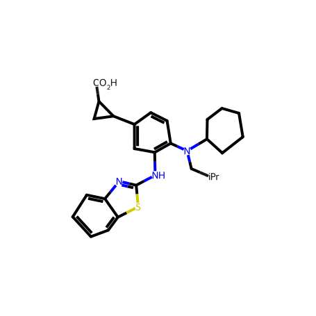 CC(C)CN(c1ccc(C2CC2C(=O)O)cc1Nc1nc2ccccc2s1)C1CCCCC1